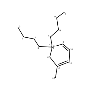 CCCC[N+]1(CCCC)C=CC=C(C)C1